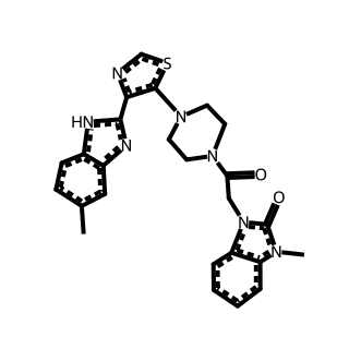 Cc1ccc2[nH]c(-c3ncsc3N3CCN(C(=O)Cn4c(=O)n(C)c5ccccc54)CC3)nc2c1